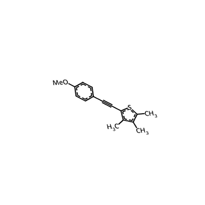 COc1ccc(C#Cc2sc(C)c(C)c2C)cc1